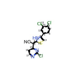 N#CC(=C1NC(c2ccc(Cl)c(Cl)c2)=CS1)c1ccnc(Cl)n1